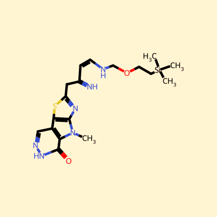 Cn1c2nc(CC(=N)/C=C\NCOCC[Si](C)(C)C)sc2c2cn[nH]c(=O)c21